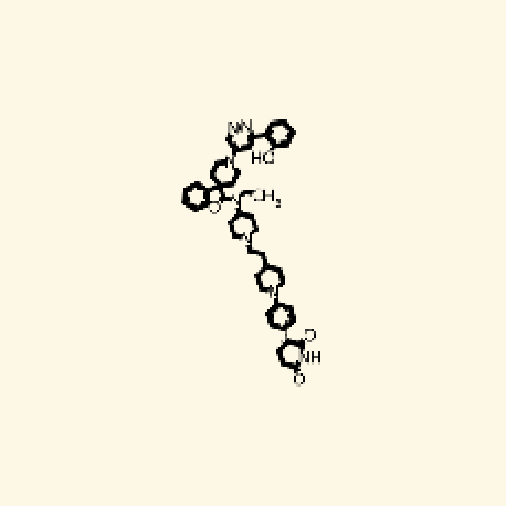 CCN(C(=O)C1(c2ccccc2)CCN(c2cnnc(-c3ccccc3O)c2)CC1)C1CCN(CCC2CCN(c3ccc([C@H]4CCC(=O)NC4=O)cc3)CC2)CC1